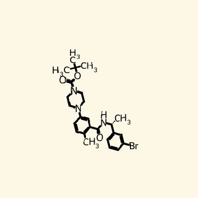 Cc1ccc(N2CCN(C(=O)OC(C)(C)C)CC2)cc1C(=O)N[C@H](C)c1cccc(Br)c1